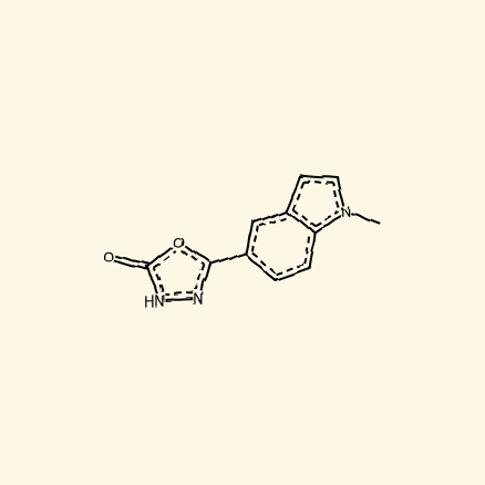 Cn1ccc2cc(-c3n[nH]c(=O)o3)ccc21